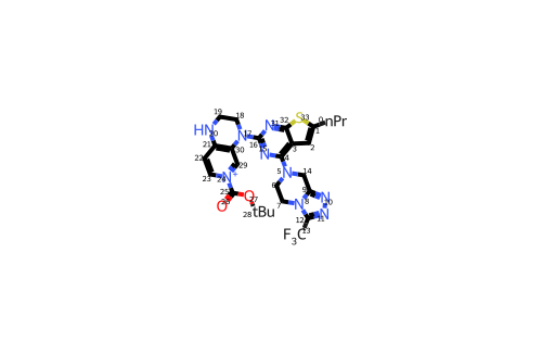 CCCc1cc2c(N3CCn4c(nnc4C(F)(F)F)C3)nc(N3CCNc4cc[n+](C(=O)OC(C)(C)C)cc43)nc2s1